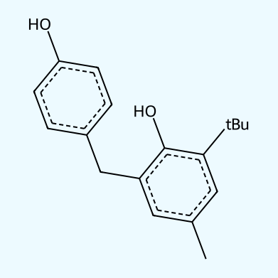 Cc1cc(Cc2ccc(O)cc2)c(O)c(C(C)(C)C)c1